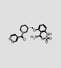 NC1=NS(=O)(=O)Nc2cccc(OC[C@H]3CCCN(C(=O)c4ccnnc4)C3)c21